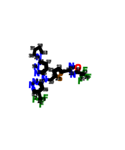 FC(F)(F)c1cnnc(N(Cc2ccc(-c3noc(C(F)(F)F)n3)s2)c2ccc(N3CCCC3)nn2)c1